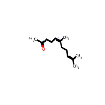 [CH2]C(=O)CC/C=C(/C)CCC=C(C)C